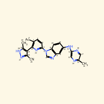 CC(=O)c1ccc(-n2cnc3cc(Nc4cnc(C)cn4)ccc32)nc1-c1c(C#N)n[nH]c1C